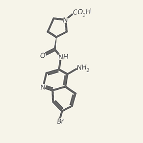 Nc1c(NC(=O)[C@H]2CCN(C(=O)O)C2)cnc2cc(Br)ccc12